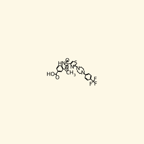 COc1cc(C(=O)O)ccc1NS(=O)(=O)c1csc(N2CCN(c3ccc(C(F)(F)F)cc3)CC2)n1